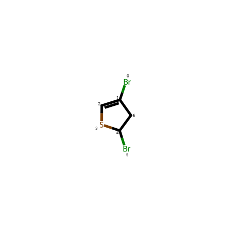 BrC1=CSC(Br)C1